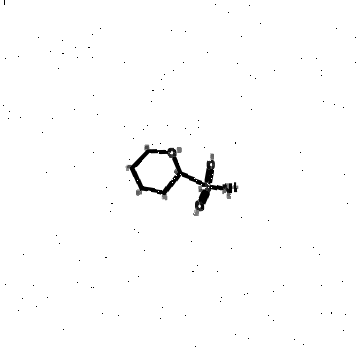 [NH]S(=O)(=O)C1CCCCO1